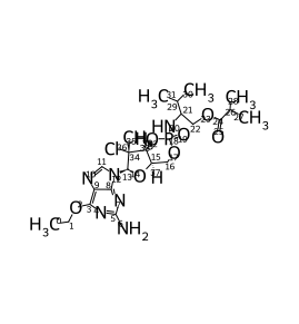 CCOc1nc(N)nc2c1ncn2[C@@H]1O[C@@H]2COP(=O)(NC(COC(=O)C(C)C)C(C)C)O[C@H]2[C@@]1(C)Cl